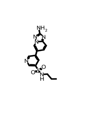 CCCNS(=O)(=O)c1cncc(-c2ccc3nc(N)nn3c2)c1